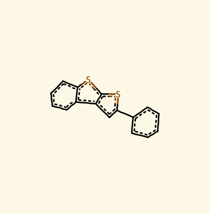 c1ccc(-c2cc3c(s2)sc2ccccc23)cc1